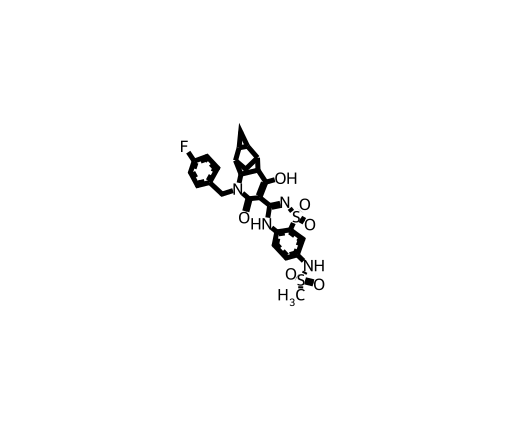 CS(=O)(=O)Nc1ccc2c(c1)S(=O)(=O)N=C(C1=C(O)C3C4CC(C5CC54)C3N(Cc3ccc(F)cc3)C1=O)N2